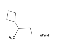 [CH2]CCCCCCC(C)C1CCC1